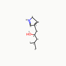 CC(C)CC(O)CC1=CCN=C1